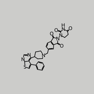 O=C1CCN(N2C(=O)c3ccc(CN4CCC(c5ncnc6scc(-c7ccccc7)c56)CC4)cc3C2=O)C(=O)N1